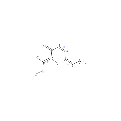 C=C(/C=C\C=C/N)/C(C)=C(\C)CC